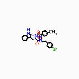 Cc1ccc(S(=O)(=O)N[C@@H](Cc2c[nH]c3ccccc23)C(=O)NCCc2ccc(Br)cc2)cc1